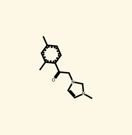 Cc1ccc(C(=O)CN2[CH]N(C)C=C2)c(C)c1